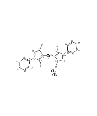 CC1=[C]([Zr+2][C]2=C(C)C(c3ccccc3)=CC2C)C(C)C=C1c1ccccc1.[Cl-].[Cl-]